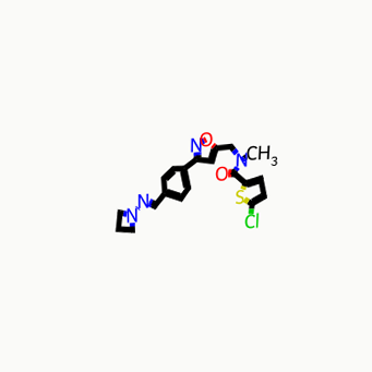 CN(Cc1cc(-c2ccc(C=NN3CCC3)cc2)no1)C(=O)c1ccc(Cl)s1